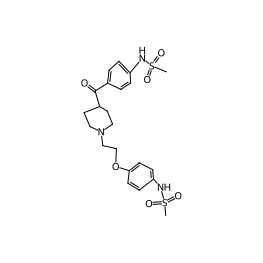 CS(=O)(=O)Nc1ccc(OCCN2CCC(C(=O)c3ccc(NS(C)(=O)=O)cc3)CC2)cc1